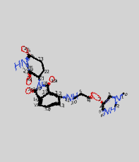 CN(C)/C=C(\C=N)OCCCNc1cccc2c1C(=O)N(C1CCC(=O)NC1=O)C2=O